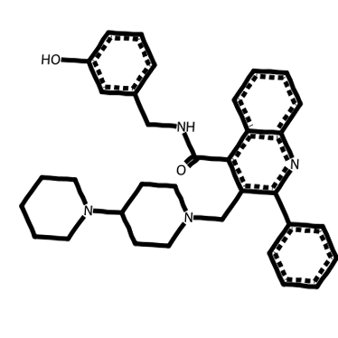 O=C(NCc1cccc(O)c1)c1c(CN2CCC(N3CCCCC3)CC2)c(-c2ccccc2)nc2ccccc12